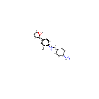 Cc1cc(-c2ccco2)ccc1NC[C@H]1CC[C@H](N)CC1